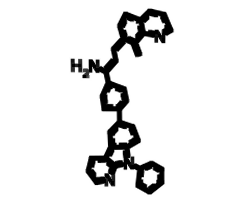 C=c1/c(=C\C=C(/N)c2ccc(-c3ccc4c(c3)c3cccnc3n4-c3ccccc3)cc2)ccc2cccnc12